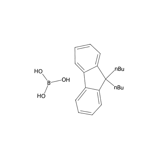 CCCCC1(CCCC)c2ccccc2-c2ccccc21.OB(O)O